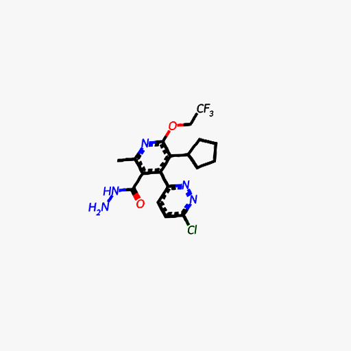 Cc1nc(OCC(F)(F)F)c(C2CCCC2)c(-c2ccc(Cl)nn2)c1C(=O)NN